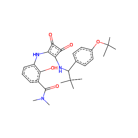 CN(C)C(=O)c1cccc(Nc2c(NC(c3ccc(OC(C)(C)C)cc3)C(C)(C)C)c(=O)c2=O)c1O